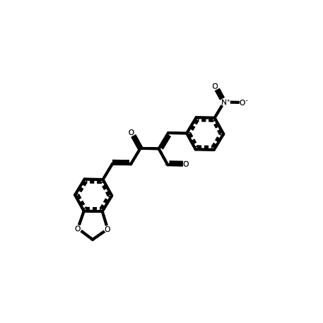 O=[C]C(=Cc1cccc([N+](=O)[O-])c1)C(=O)C=Cc1ccc2c(c1)OCO2